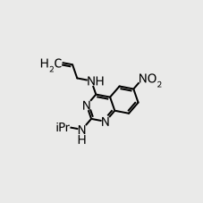 C=CCNc1nc(NC(C)C)nc2ccc([N+](=O)[O-])cc12